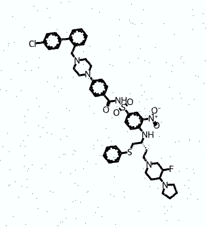 O=C(NS(=O)(=O)c1ccc(N[C@H](CCN2CCC(N3CCCC3)C(F)C2)CSc2ccccc2)c([N+](=O)[O-])c1)c1ccc(N2CCN(Cc3ccccc3-c3ccc(Cl)cc3)CC2)cc1